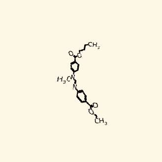 CCCCOC(=O)c1ccc(N(C)C=Nc2ccc(C(=O)OCC)cc2)cc1